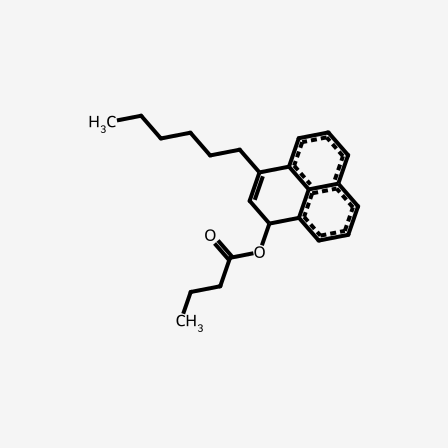 CCCCCCC1=CC(OC(=O)CCC)c2cccc3cccc1c23